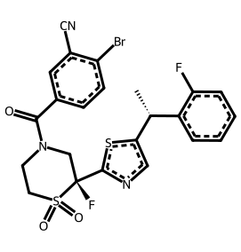 C[C@@H](c1cnc([C@@]2(F)CN(C(=O)c3ccc(Br)c(C#N)c3)CCS2(=O)=O)s1)c1ccccc1F